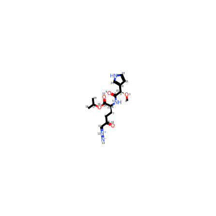 CO[C@H](C(=O)N[C@@H](CCC(=O)C=[N+]=[N-])C(=O)OC(C)C)c1cc[nH]c1